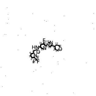 O=C(Cc1cccc(C(F)(F)F)n1)Nc1cnc(-n2cnc(C3=CCOCC3)c2)c(F)c1